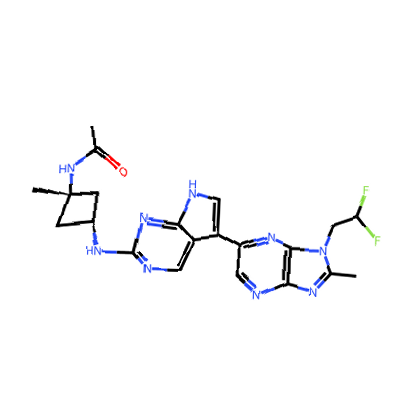 CC(=O)N[C@]1(C)C[C@@H](Nc2ncc3c(-c4cnc5nc(C)n(CC(F)F)c5n4)c[nH]c3n2)C1